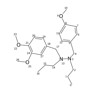 CCCN(Cc1ccc(OC)cc1)N(CCC)Cc1ccc(OC)c(OC)c1